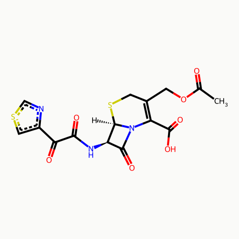 CC(=O)OCC1=C(C(=O)O)N2C(=O)[C@@H](NC(=O)C(=O)c3cscn3)[C@H]2SC1